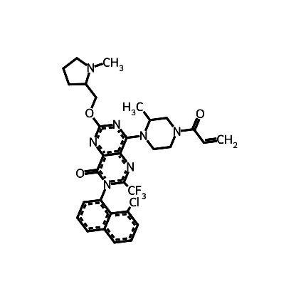 C=CC(=O)N1CCN(c2nc(OCC3CCCN3C)nc3c(=O)n(-c4cccc5cccc(Cl)c45)c(C(F)(F)F)nc23)C(C)C1